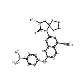 C#Cc1cc(N2C(=O)N(C)CC23CCCC3)nc2nc(Nc3ccc(N(C)C(C)=O)cc3)ncc12